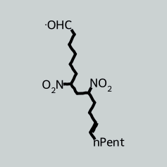 CCCCCC=CCCC(CC(CCCCC[C]=O)[N+](=O)[O-])[N+](=O)[O-]